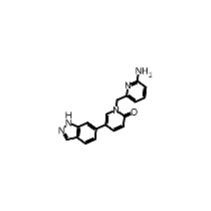 Nc1cccc(Cn2cc(-c3ccc4cn[nH]c4c3)ccc2=O)n1